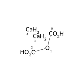 O=C(O)OC(=O)O.[CaH2].[CaH2]